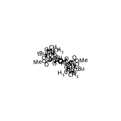 COC(=O)[C@@H]1C[C@H](NC(=O)c2ccc(C(=O)N[C@H]3C[C@@H](C(=O)OC)N(C(=O)[C@@H](NC(=O)[C@H](C)N(C)C(=O)OC(C)(C)C)C(C)(C)C)C3)cc2)CN1C(=O)[C@@H](NC(=O)[C@H](C)N(C)C(=O)OC(C)(C)C)C(C)(C)C